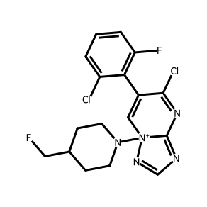 FCC1CCN([N+]23C=C(c4c(F)cccc4Cl)C(Cl)=NC2=NC=N3)CC1